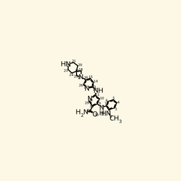 CNc1ccccc1Nc1cc(Nc2ccc(N3CC4(CCNCC4)C3)cn2)ncc1C(N)=O